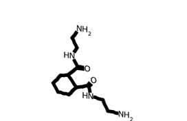 NCCNC(=O)C1CCCCC1C(=O)NCCN